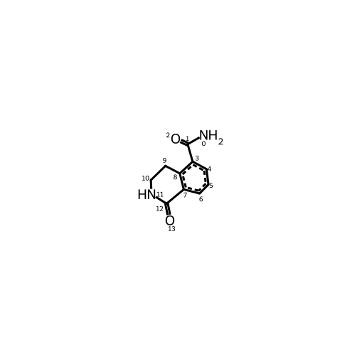 NC(=O)c1cccc2c1CCNC2=O